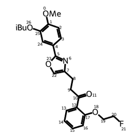 COc1ccc(-c2nc(CCC(=O)c3ccccc3OCCF)co2)cc1OCC(C)C